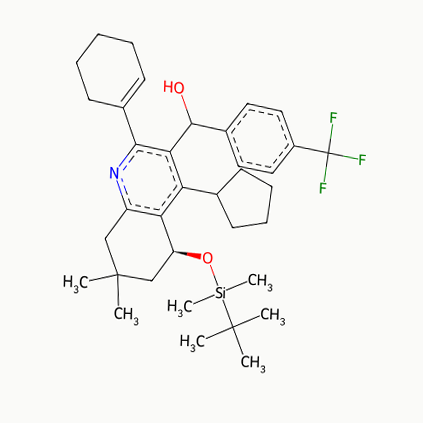 CC1(C)Cc2nc(C3=CCCCC3)c(C(O)c3ccc(C(F)(F)F)cc3)c(C3CCCC3)c2[C@@H](O[Si](C)(C)C(C)(C)C)C1